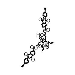 C#Cc1ccc(N2C(=O)c3ccc(C(=O)OCC(O)CN4C(=O)N(CC(O)COC(=O)c5ccc6c(c5)C(=O)N(c5ccc(C#C)cc5)C6=O)C5C4N(CC=C)C(=O)N5CC=C)cc3C2=O)cc1